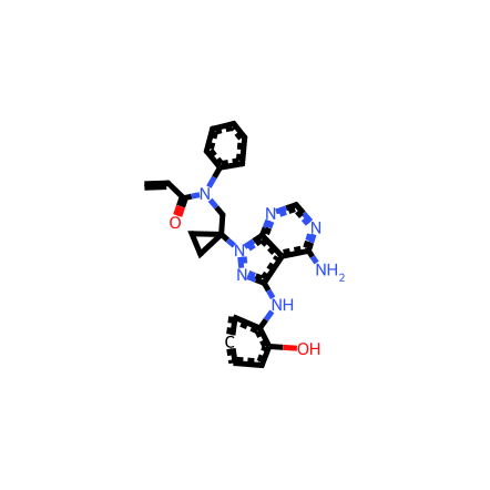 C=CC(=O)N(CC1(n2nc(Nc3ccccc3O)c3c(N)ncnc32)CC1)c1ccccc1